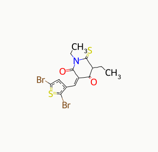 CCC1C(=O)C(=Cc2cc(Br)sc2Br)C(=O)N(CC)C1=S